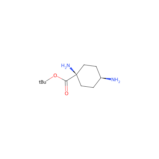 CC(C)(C)OC(=O)[C@]1(N)CC[C@@H](N)CC1